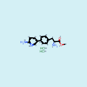 COC(=O)[C@@H](N)Cc1ccc(-c2ccc(N)nc2)cc1.Cl.Cl